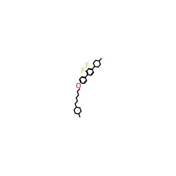 CC1CCC(CCCCCCOc2ccc(-c3ccc(C4CCC(C)CC4)c(F)c3F)cc2)CC1